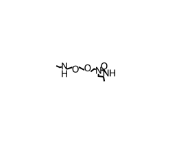 CCNCCOCCOCCN1CC(C)NC1=O